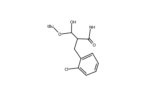 CC(C)(C)OC(O)C(Cc1ccccc1Cl)C([NH])=O